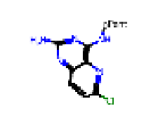 CCCCCNc1nc(N)nc2ccc(Cl)nc12